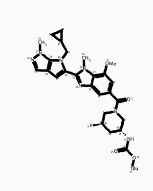 COc1cc(C(=O)N2C[C@H](F)C[C@@H](NC(=O)OC(C)(C)C)C2)cc2nc(-c3cc4cnn(C)c4n3CC3CC3)n(C)c12